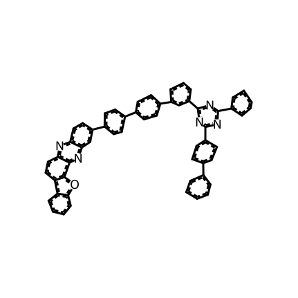 c1ccc(-c2ccc(-c3nc(-c4ccccc4)nc(-c4cccc(-c5ccc(-c6ccc(-c7ccc8nc9ccc%10c%11ccccc%11oc%10c9nc8c7)cc6)cc5)c4)n3)cc2)cc1